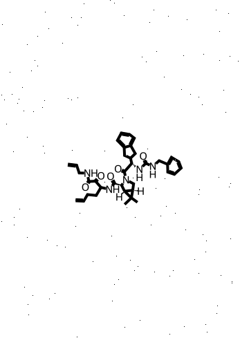 C=CCCC(NC(=O)[C@@H]1[C@H]2[C@@H](CN1C(=O)[C@@H](NC(=O)NCc1ccccc1)C1Cc3ccccc3C1)C2(C)C)C(=O)C(=O)NCC=C